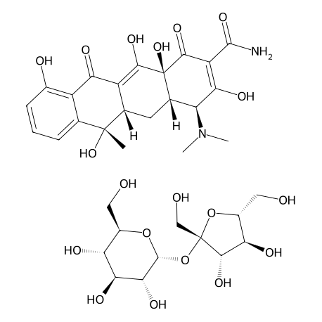 CN(C)[C@@H]1C(O)=C(C(N)=O)C(=O)[C@@]2(O)C(O)=C3C(=O)c4c(O)cccc4[C@@](C)(O)[C@H]3C[C@@H]12.OC[C@H]1O[C@@](CO)(O[C@H]2O[C@H](CO)[C@@H](O)[C@H](O)[C@H]2O)[C@@H](O)[C@@H]1O